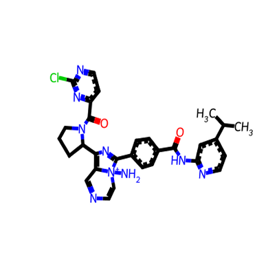 CC(C)c1ccnc(NC(=O)c2ccc(C3=NC(C4CCCN4C(=O)c4ccnc(Cl)n4)=C4C=NC=C[N+]34N)cc2)c1